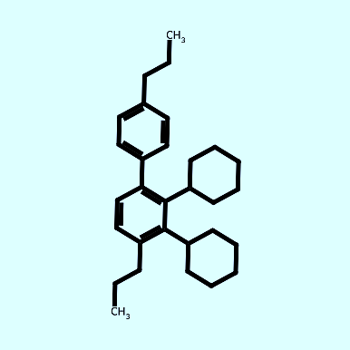 CCCc1ccc(-c2ccc(CCC)c(C3CCCCC3)c2C2CCCCC2)cc1